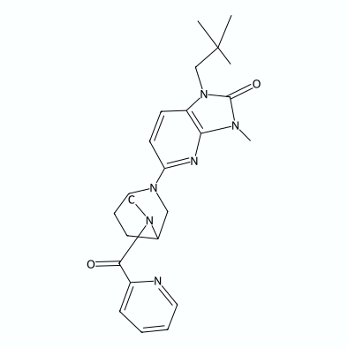 Cn1c(=O)n(CC(C)(C)C)c2ccc(N3CC4CCC3CN4C(=O)c3ccccn3)nc21